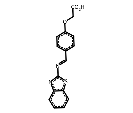 O=C(O)COc1ccc(C=Nc2nc3ccccc3s2)cc1